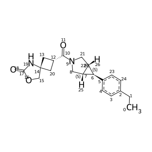 CCc1ccc([C@H]2[C@@H]3CN(C(=O)[C@H]4C[C@]5(COC(=O)N5)C4)C[C@@H]32)cc1